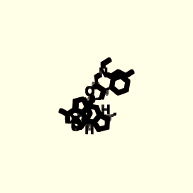 CCCCN(CC)C[C@@H]1O[C@@H](C23C[C@@H]4[C@H](C)CC[C@H]4C4(C=O)CC2C=C(C(C)C)[C@]43C(=O)O)C[C@H]1C1CCCCC1